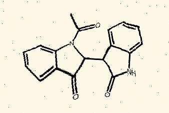 CC(=O)N1c2ccccc2C(=O)C1C1C(=O)Nc2ccccc21